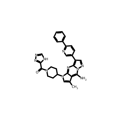 Cc1cn(C2CCN(C(=O)c3nnc[nH]3)CC2)c2nc3c(-c4ccc(-c5ccccc5)nc4)cnn3c(N)c12